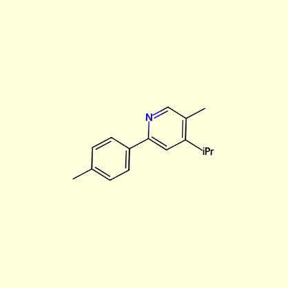 Cc1ccc(-c2cc(C(C)C)c(C)cn2)cc1